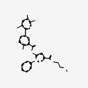 COCCNC(=O)c1cc(NC(=O)c2cc(-c3nc(N)c(F)cc3F)ccc2Cl)n(-c2ccccc2)n1